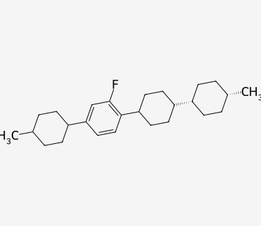 CC1CCC(c2ccc(C3CCC([C@H]4CC[C@@H](C)CC4)CC3)c(F)c2)CC1